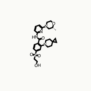 C[C@@H]1CN(c2cccc(NC(=O)c3ccc(S(=O)(=O)CCO)cc3N3CCC4(CC3)CC4)n2)CCO1